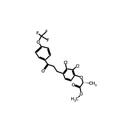 COC(=O)[C@@H](C)Oc1ccc(CCC(=O)c2ccc(OC(F)(F)F)cc2)c(Cl)c1Cl